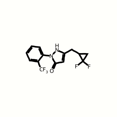 O=c1cc(CC2CC2(F)F)[nH]n1-c1ccccc1C(F)(F)F